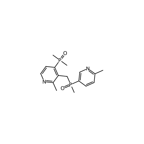 Cc1ccc(P(C)(=O)Cc2c(P(C)(C)=O)ccnc2C)cn1